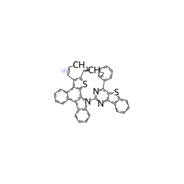 C=Cc1sc2c(c1/C=C\C)c1ccccc1c1c3ccccc3n(-c3nc(-c4ccccc4)c4sc5ccccc5c4n3)c21